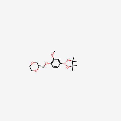 COc1cc(B2OC(C)(C)C(C)(C)O2)ccc1OC[C@@H]1COCCO1